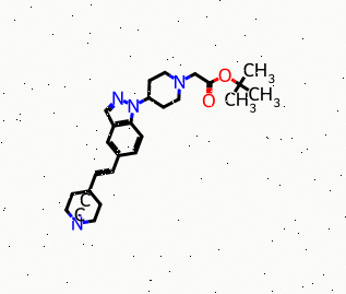 CC(C)(C)OC(=O)CN1CCC(n2ncc3cc(C=CC45CCN(CC4)CC5)ccc32)CC1